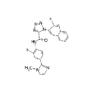 CN1CCN=C1c1ccc(NC(=O)c2nnnn2-c2cc3ccccc3cc2F)c(F)c1